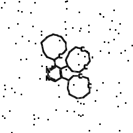 c1nnc(C2CCCCCCCCC2)c(C2CCCCCCCCC2)c1C1CCCCCCCCC1